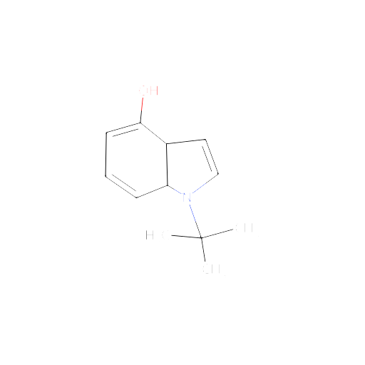 CC(C)(C)N1C=CC2C(O)=CC=CC21